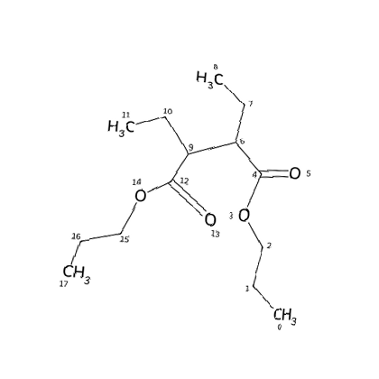 CCCOC(=O)C(CC)C(CC)C(=O)OCCC